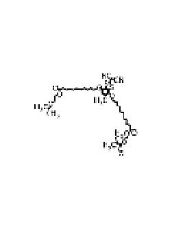 C=C(C)COCCOC(=O)CCCCCCCCCCOc1cc(C)c(OCCCCCCCCCCC(=O)OCCOC(=C=O)C(=C)C)c2c1SC(=C(C#N)C#N)S2